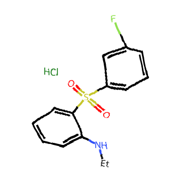 CCNc1ccccc1S(=O)(=O)c1cccc(F)c1.Cl